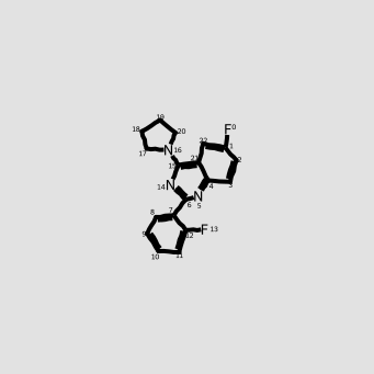 Fc1ccc2nc(-c3ccccc3F)nc(N3CCCC3)c2c1